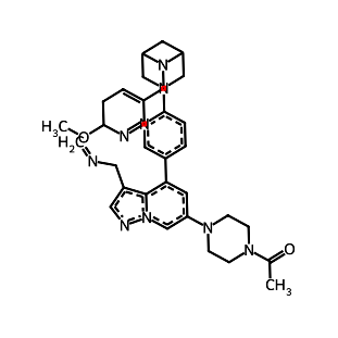 C=NCc1cnn2cc(N3CCN(C(C)=O)CC3)cc(-c3ccc(N4CC5CC(C4)N5CC4=CCC(OC)N=C4)nc3)c12